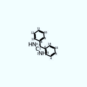 N=C=N.c1ccc(Cc2ccccc2)cc1